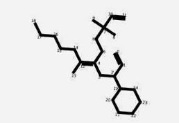 C=CC(CC(CCC(C)(C)C=C)=C(C)CCCCC)C1CCCCC1